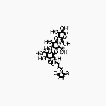 O=C(CCCN1C(=O)C=CC1=O)NC1[C@H](O[C@@H]2C(CO)O[C@H](O[C@@H]3C(CO)OCC(O)[C@H]3O)C(O)[C@H]2O)OC(CO)[C@@H](O)[C@@H]1O